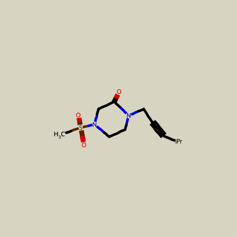 CC(C)C#CCN1CCN(S(C)(=O)=O)CC1=O